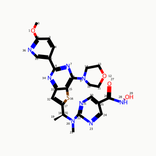 COc1ccc(-c2nc(N3CCOCC3)c3sc([C@H](C)N(C)c4ncc(C(=O)NO)cn4)cc3n2)cn1